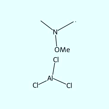 [CH2]N(C)OC.[Cl][Al]([Cl])[Cl]